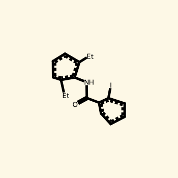 CCc1cccc(CC)c1NC(=O)c1ccccc1I